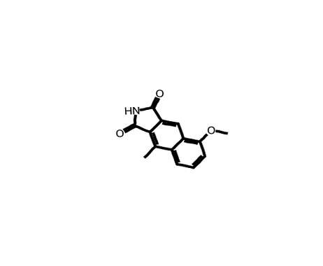 COc1cccc2c(C)c3c(cc12)C(=O)NC3=O